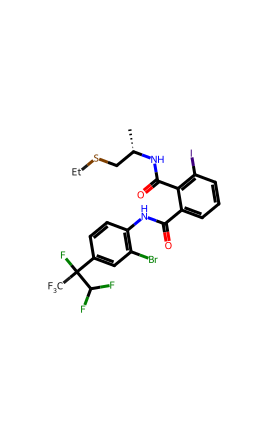 CCSC[C@H](C)NC(=O)c1c(I)cccc1C(=O)Nc1ccc(C(F)(C(F)F)C(F)(F)F)cc1Br